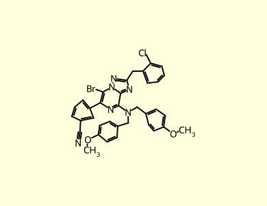 COc1ccc(CN(Cc2ccc(OC)cc2)c2nc(-c3cccc(C#N)c3)c(Br)n3nc(Cc4ccccc4Cl)nc23)cc1